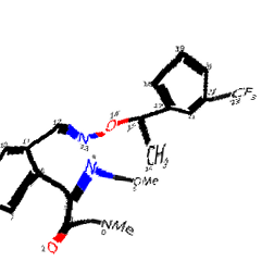 CNC(=O)C(=NOC)c1ccccc1/C=N/OC(C)c1cccc(C(F)(F)F)c1